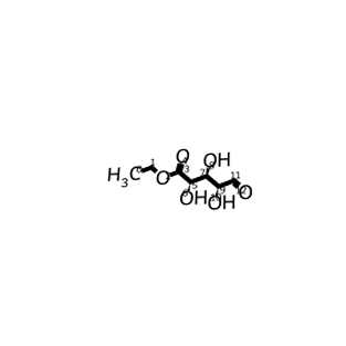 CCOC(=O)[C@@H](O)[C@@H](O)[C@@H](O)C=O